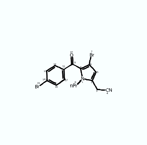 CCCn1c(CC#N)cc(Br)c1C(=O)c1ccc(Br)cc1